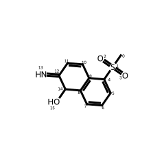 CS(=O)(=O)c1cccc2c1C=CC(=N)C2O